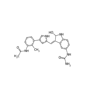 CC(=O)Nc1cccc(-c2c[nH]c(C=C3c4cc(NC(N)=O)ccc4NC3O)c2)c1C